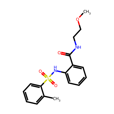 COCCNC(=O)c1ccccc1NS(=O)(=O)c1ccccc1C